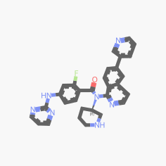 O=C(c1ccc(Nc2ncccn2)cc1F)N(c1nccc2cc(-c3cccnc3)ccc12)[C@@H]1CCCNC1